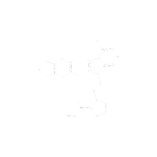 Nc1nccc2c1nc(Sc1cc3c(cc1Br)OCO3)n2CCC1CCCN1C(=O)CO